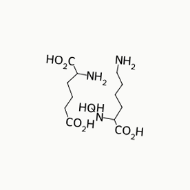 NC(CCCC(=O)O)C(=O)O.NCCCCC(NO)C(=O)O